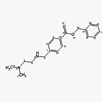 CN(C)CCNCc1ccc(C(=O)OCc2ccccc2)cc1